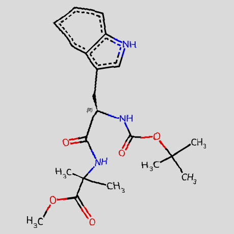 COC(=O)C(C)(C)NC(=O)[C@@H](Cc1c[nH]c2ccccc12)NC(=O)OC(C)(C)C